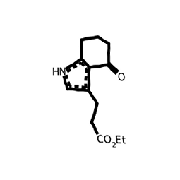 CCOC(=O)CCc1c[nH]c2c1C(=O)CCC2